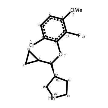 COc1ccc(Cl)c(OC(C2CC2)[C@H]2CCNC2)c1F